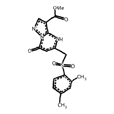 COC(=O)c1cnn2c(=O)cc(CS(=O)(=O)c3ccc(C)cc3C)[nH]c12